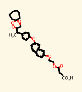 C=C(c1ccc(Oc2ccc3ccc(OCCOC(=O)CCC(=O)O)cc3c2)cc1)C1COC2(CCCCCC2)OO1